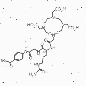 CC(C)(C)C(=O)c1ccc(NC(=O)CNC(=O)[C@H](CCCNC(=N)N)NC(=O)CN2CCN(CC(=O)O)CCN(CC(=O)O)CCN(CC(=O)O)CC2)cc1